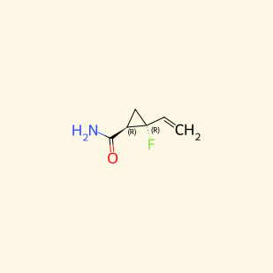 C=C[C@]1(F)C[C@@H]1C(N)=O